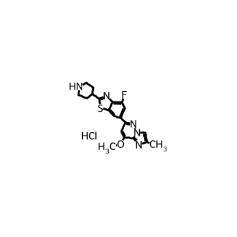 COc1cc(-c2cc(F)c3nc(C4CCNCC4)sc3c2)nn2cc(C)nc12.Cl